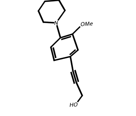 COc1cc(C#CCO)ccc1N1CCCCC1